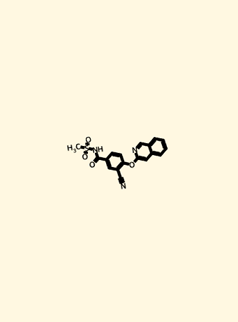 CS(=O)(=O)NC(=O)c1ccc(Oc2cc3ccccc3cn2)c(C#N)c1